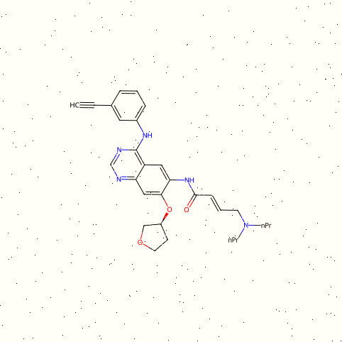 C#Cc1cccc(Nc2ncnc3cc(O[C@H]4CCOC4)c(NC(=O)/C=C/CN(CCC)CCC)cc23)c1